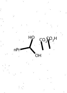 CC(=O)O.CC(=O)O.CCCC(O)O